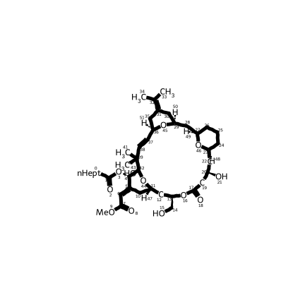 CCCCCCCC(=O)O[C@H]1/C(=C/C(=O)OC)C[C@H]2C[C@H](CO)OC(=O)C[C@H](O)C[C@@H]3CCC[C@H](C[C@@H]4CC(=C(C)C)C[C@H](/C=C/C(C)(C)[C@]1(O)O2)O4)O3